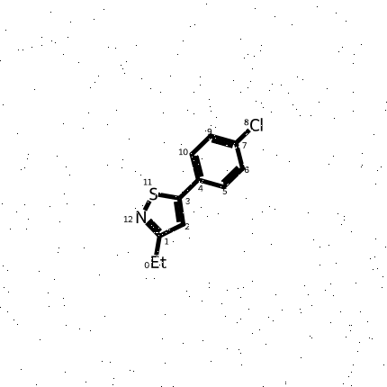 CCc1cc(-c2ccc(Cl)cc2)sn1